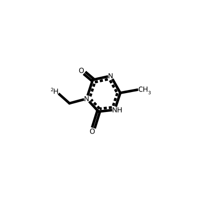 [2H]Cn1c(=O)nc(C)[nH]c1=O